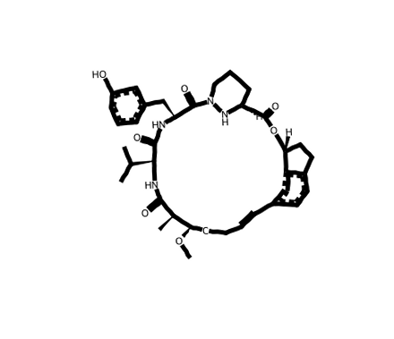 CO[C@@H]1CC/C=C/c2ccc3c(c2)[C@@H](CC3)OC(=O)[C@@H]2CCCN(N2)C(=O)[C@H](Cc2cccc(O)c2)NC(=O)[C@H](C(C)C)NC(=O)[C@@H]1C